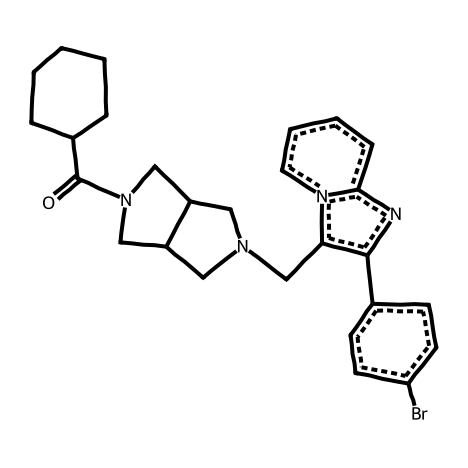 O=C(C1CCCCC1)N1CC2CN(Cc3c(-c4ccc(Br)cc4)nc4ccccn34)CC2C1